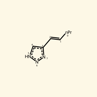 CCCC=Cc1c[nH]nn1